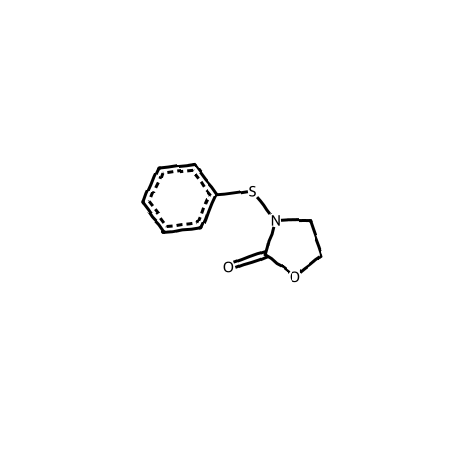 O=C1OCCN1Sc1ccccc1